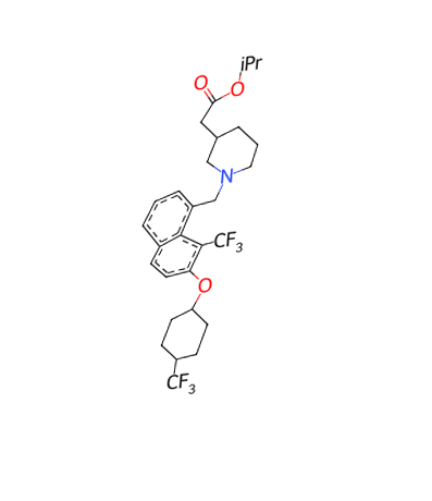 CC(C)OC(=O)CC1CCCN(Cc2cccc3ccc(OC4CCC(C(F)(F)F)CC4)c(C(F)(F)F)c23)C1